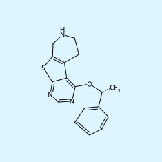 FC(F)(F)[C@@H](Oc1ncnc2sc3c(c12)CCNC3)c1ccccc1